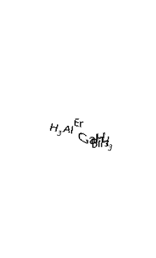 [AlH3].[BiH3].[Er].[GaH3]